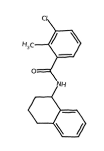 Cc1c(Cl)cccc1C(=O)NC1CCCc2ccccc21